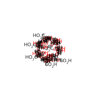 O=C(O)COC[C@H]1O[C@@H]2O[C@H]3[C@H](O)[C@@H](O)[C@@H](O[C@H]4[C@H](OCC(=O)O)[C@@H](O)[C@@H](O[C@H]5[C@H](OCC(=O)O)[C@@H](O)[C@@H](O[C@H]6[C@H](OCC(=O)O)[C@@H](O)[C@@H](O[C@H]7[C@H](OCC(=O)O)[C@@H](O)[C@@H](O[C@H]8[C@H](O)[C@@H](O)[C@@H](O[C@H]1[C@H](O)[C@H]2O)O[C@@H]8COCC(=O)O)O[C@@H]7CO)O[C@@H]6CO)O[C@@H]5CO)O[C@@H]4CO)O[C@@H]3COCC(=O)O